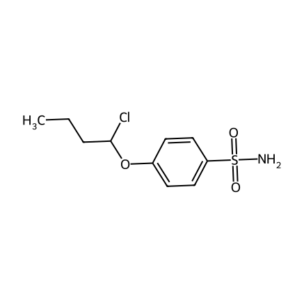 CCCC(Cl)Oc1ccc(S(N)(=O)=O)cc1